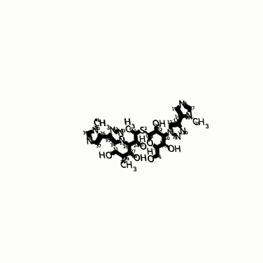 CC(S[C@@H]1OC(CO)[C@H](O)C(n2cc(-c3cncn3C)nn2)C1O)C(O)C(C(O)[C@H](C)CO)n1cc(-c2cncn2C)nn1